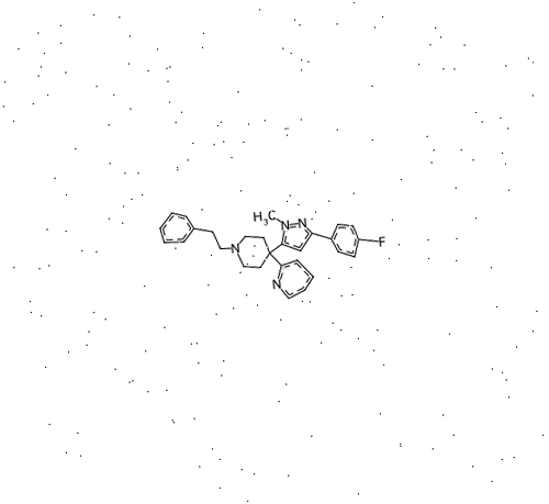 Cn1nc(-c2ccc(F)cc2)cc1C1(c2ccccn2)CCN(CCc2ccccc2)CC1